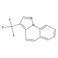 FC(F)(F)c1cnn2c1ccc1ccccc12